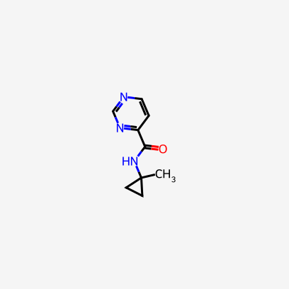 CC1(NC(=O)c2ccncn2)CC1